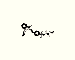 C=CCOc1ccccc1C(=O)NCCc1ccc(S(=O)(=O)CNC(=O)OCC)cc1